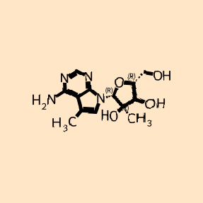 Cc1cn([C@@H]2O[C@H](CO)C(O)[C@@]2(C)O)c2ncnc(N)c12